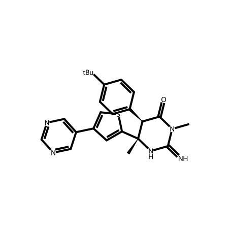 CN1C(=N)N[C@](C)(c2cc(-c3cncnc3)cs2)[C@@H](c2ccc(C(C)(C)C)cc2)C1=O